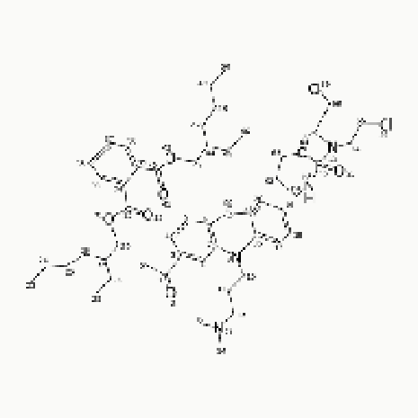 CC(=O)c1ccc2c(c1)N(CCCN(C)C)c1ccccc1S2.CCCCC(CC)COC(=O)c1ccccc1C(=O)OCC(CC)CCCC.O=P1(N(CCCl)CCCl)NCCCO1